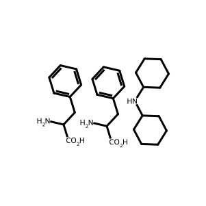 C1CCC(NC2CCCCC2)CC1.NC(Cc1ccccc1)C(=O)O.NC(Cc1ccccc1)C(=O)O